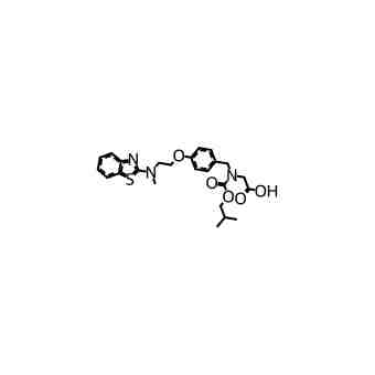 CC(C)COC(=O)N(CC(=O)O)Cc1ccc(OCCN(C)c2nc3ccccc3s2)cc1